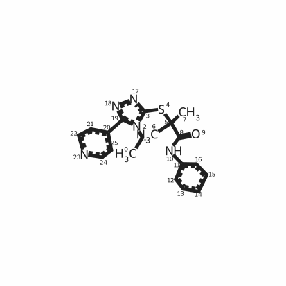 CCn1c(SC(C)(C)C(=O)Nc2ccccc2)nnc1-c1ccncc1